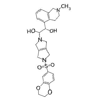 CN1CCc2c(cccc2C(O)C(O)N2CC3=C(C2)CN(S(=O)(=O)c2ccc4c(c2)OCCO4)C3)C1